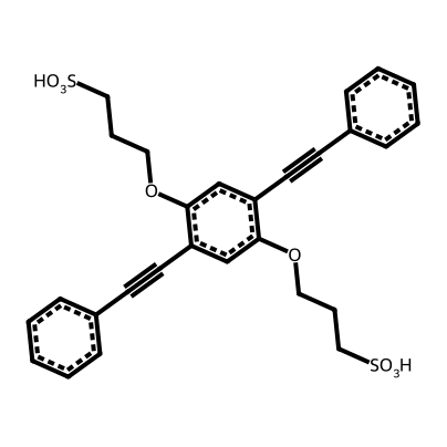 O=S(=O)(O)CCCOc1cc(C#Cc2ccccc2)c(OCCCS(=O)(=O)O)cc1C#Cc1ccccc1